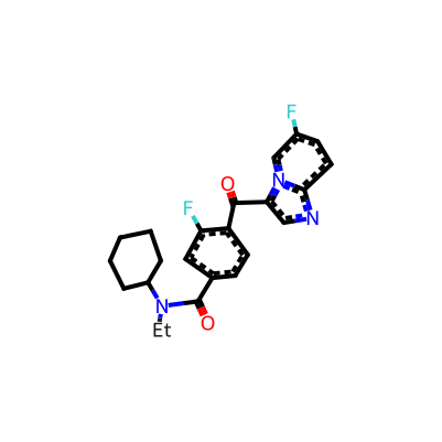 CCN(C(=O)c1ccc(C(=O)c2cnc3ccc(F)cn23)c(F)c1)C1CCCCC1